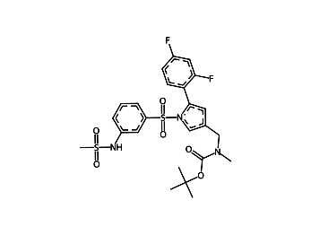 CN(Cc1cc(-c2ccc(F)cc2F)n(S(=O)(=O)c2cccc(NS(C)(=O)=O)c2)c1)C(=O)OC(C)(C)C